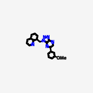 COc1cccc(-c2cnc3nnn(Cc4cccc5cccnc45)c3n2)c1